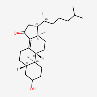 CC(C)CCC[C@@H](C)[C@H]1CC(=O)C2=C3CC[C@H]4CC(O)CC[C@]4(C)[C@H]3CC[C@@]21C